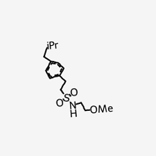 COCCNS(=O)(=O)CCc1ccc(CC(C)C)cc1